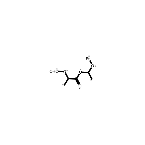 CCOC(C)OC(=O)C(C)O[C]=O